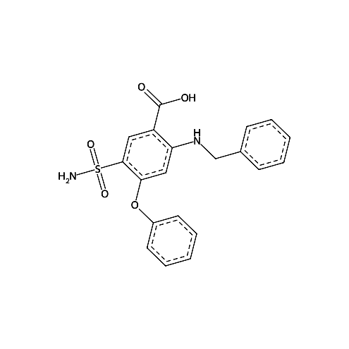 NS(=O)(=O)c1cc(C(=O)O)c(NCc2ccccc2)cc1Oc1ccccc1